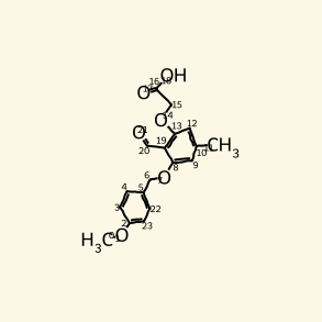 COc1ccc(COc2cc(C)cc(OCC(=O)O)c2C=O)cc1